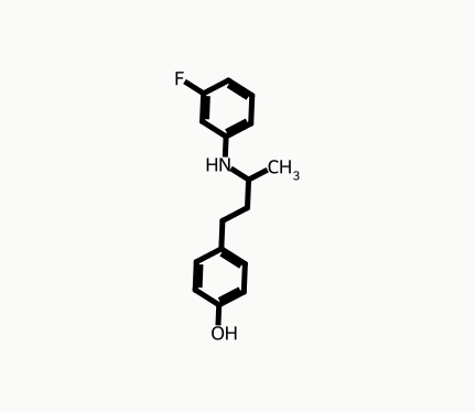 CC(CCc1ccc(O)cc1)Nc1cccc(F)c1